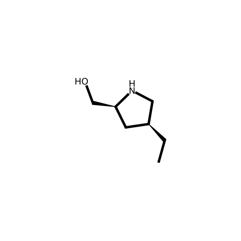 CC[C@@H]1CN[C@H](CO)C1